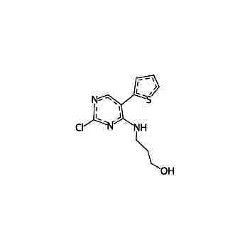 OCCCNc1nc(Cl)ncc1-c1cccs1